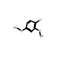 CCCOc1ccc([O])c(OCCC)c1